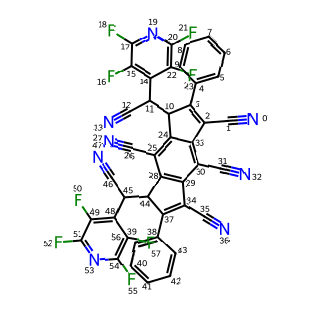 N#CC1=C(c2ccccc2)C(C(C#N)c2c(F)c(F)nc(F)c2F)c2c(C#N)c3c(c(C#N)c21)C(C#N)=C(c1ccccc1)C3C(C#N)c1c(F)c(F)nc(F)c1F